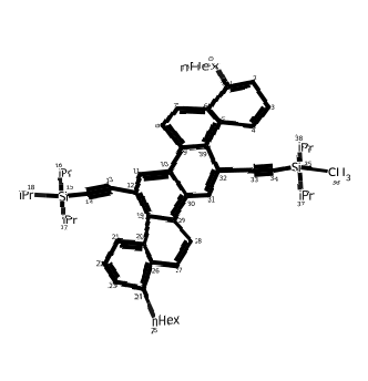 CCCCCCc1cccc2c1ccc1c3cc(C#C[Si](C(C)C)(C(C)C)C(C)C)c4c5cccc(CCCCCC)c5ccc4c3cc(C#C[Si](C)(C(C)C)C(C)C)c21